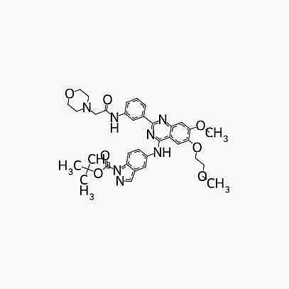 COCCOc1cc2c(Nc3ccc4c(cnn4C(=O)OC(C)(C)C)c3)nc(-c3cccc(NC(=O)CN4CCOCC4)c3)nc2cc1OC